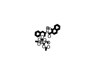 CC(=O)OCOC(OCC(Cc1ccccc1)NC(=O)c1ccc2ccccc2c1Br)(O[PH2]=O)OC(C)=O